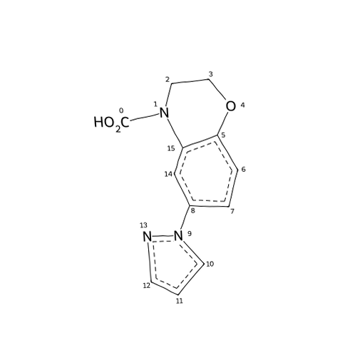 O=C(O)N1CCOc2ccc(-n3cccn3)cc21